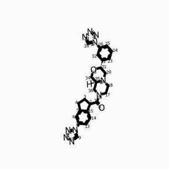 O=C(C1CCc2cc(-n3cnnn3)ccc21)N1CCN2C[C@@H](c3cccc(-n4cnnn4)c3)OC[C@@H]2C1